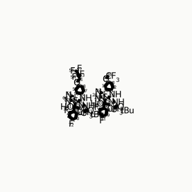 C[C@@H](N(NC(=O)OC(C)(C)C)C(=S)Nc1ccc(OC(F)(F)F)cc1)[C@](O)(Cn1cncn1)c1ccc(F)cc1F.C[C@@H](N(NC(=O)OC(C)(C)C)C(=S)Nc1ccc(OCC(F)(F)C(F)F)cc1)[C@](O)(Cn1cncn1)c1ccc(F)cc1F